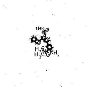 CN(C)C(=O)c1cc(-c2cnc3c(c2)c(C2OCc4ccccc42)cn3COC(=O)C(C)(C)C)ccc1N